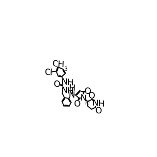 Cc1ccc(NC(=O)NCc2ccccc2NC2=CC(=O)N([C@@H]3CCC(=O)NC3=O)C2=O)cc1Cl